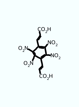 O=C(O)/C=C/c1c([N+](=O)[O-])c([N+](=O)[O-])c(/C=C/C(=O)O)c([N+](=O)[O-])c1[N+](=O)[O-]